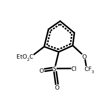 CCOC(=O)c1cccc(OC(F)(F)F)c1S(=O)(=O)Cl